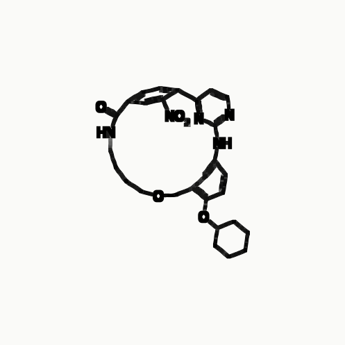 O=C1NCCCCOCc2cc(ccc2OC2CCCCC2)Nc2nccc(n2)-c2ccc1cc2[N+](=O)[O-]